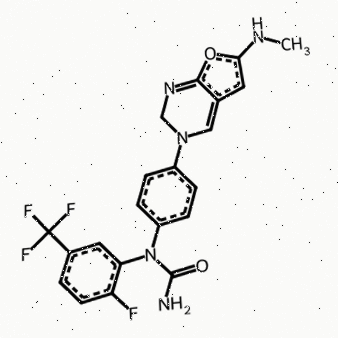 CNc1cc2c(o1)=NCN(c1ccc(N(C(N)=O)c3cc(C(F)(F)F)ccc3F)cc1)C=2